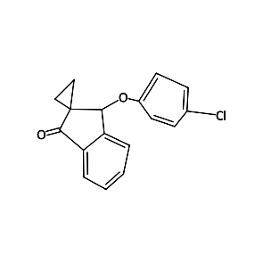 O=C1c2ccccc2C(Oc2ccc(Cl)cc2)C12CC2